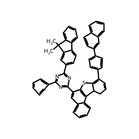 CC1(C)c2ccccc2-c2ccc(-c3nc(-c4ccccc4)nc(-c4cc5ccccc5c5c4SC4=C(c6ccc(-c7ccc8ccccc8c7)cc6)C=CCC45)n3)cc21